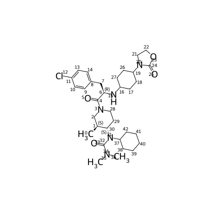 C[C@H]1CN(C(=O)[C@@H](Cc2ccc(Cl)cc2)NC2CCC(N3CCOC3=O)CC2)CC[C@@H]1N(C(=O)N(C)C)C1CCCCC1